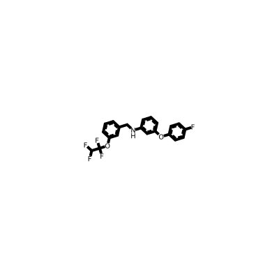 Fc1ccc(Oc2cccc(NCc3cccc(OC(F)(F)C(F)F)c3)c2)cc1